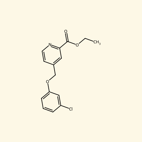 CCOC(=O)c1cc(COc2cccc(Cl)c2)ccn1